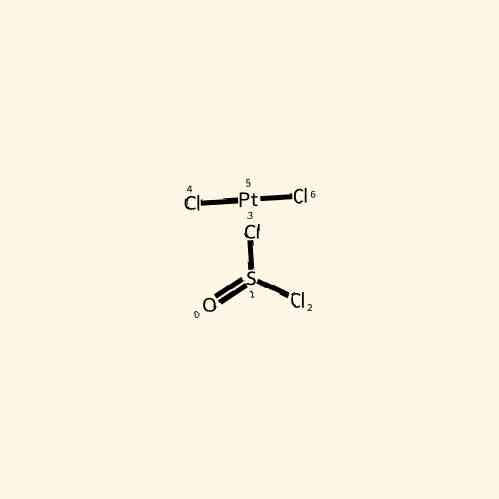 O=S(Cl)Cl.[Cl][Pt][Cl]